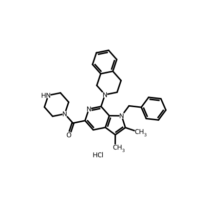 Cc1c(C)n(Cc2ccccc2)c2c(N3CCc4ccccc4C3)nc(C(=O)N3CCNCC3)cc12.Cl